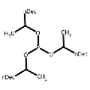 CCCCCCCCCCC(C)OP(OC(C)CCCCCCCCCC)OC(C)CCCCCCCCCC